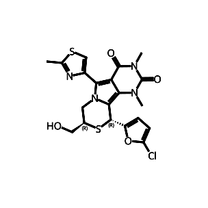 Cc1nc(-c2c3c(=O)n(C)c(=O)n(C)c3c3n2C[C@H](CO)S[C@H]3c2ccc(Cl)o2)cs1